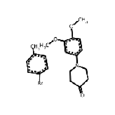 COc1ccc(N2CCC(=O)CC2)cc1OC.Cc1ccc(Br)cc1